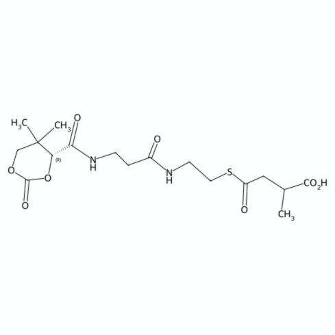 CC(CC(=O)SCCNC(=O)CCNC(=O)[C@@H]1OC(=O)OCC1(C)C)C(=O)O